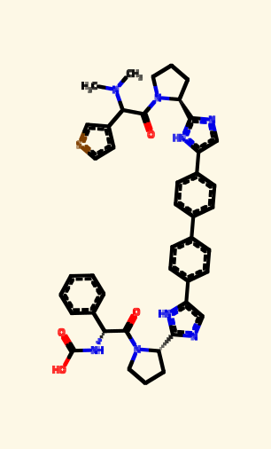 CN(C)C(C(=O)N1CCC[C@H]1c1ncc(-c2ccc(-c3ccc(-c4cnc([C@@H]5CCCN5C(=O)[C@H](NC(=O)O)c5ccccc5)[nH]4)cc3)cc2)[nH]1)c1ccsc1